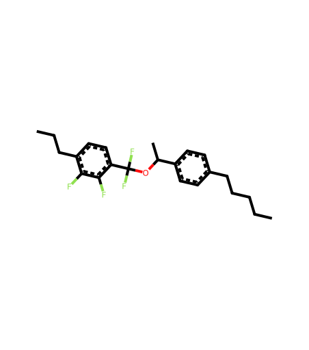 CCCCCc1ccc(C(C)OC(F)(F)c2ccc(CCC)c(F)c2F)cc1